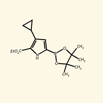 CCOC(=O)c1[nH]c(B2OC(C)(C)C(C)(C)O2)cc1C1CC1